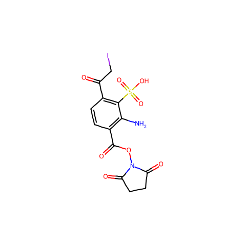 Nc1c(C(=O)ON2C(=O)CCC2=O)ccc(C(=O)CI)c1S(=O)(=O)O